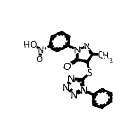 CC1=NN(c2cccc([N+](=O)O)c2)C(=O)C1Sc1nnnn1-c1ccccc1